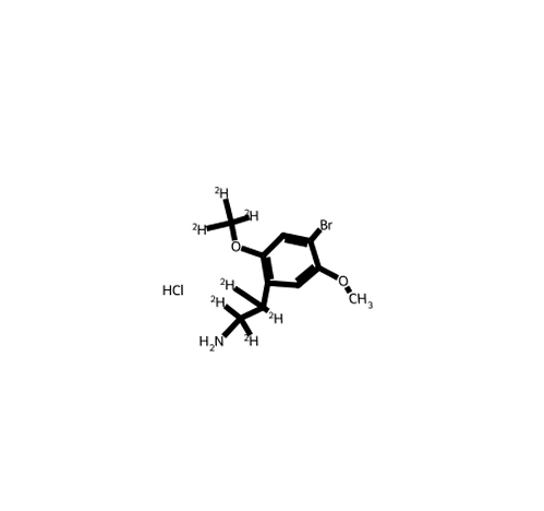 Cl.[2H]C([2H])([2H])Oc1cc(Br)c(OC)cc1C([2H])([2H])C([2H])([2H])N